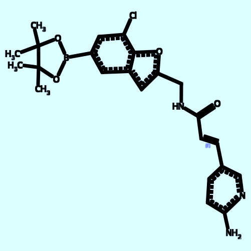 CC1(C)OB(c2cc(Cl)c3oc(CNC(=O)/C=C/c4ccc(N)nc4)cc3c2)OC1(C)C